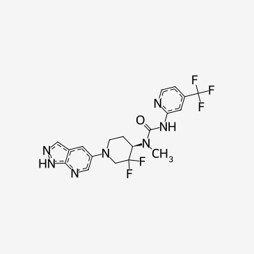 CN(C(=O)Nc1cc(C(F)(F)F)ccn1)[C@@H]1CCN(c2cnc3[nH]ncc3c2)CC1(F)F